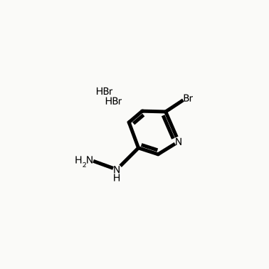 Br.Br.NNc1ccc(Br)nc1